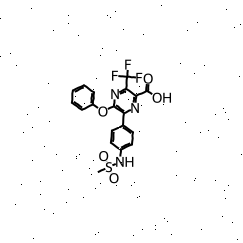 CS(=O)(=O)Nc1ccc(-c2nc(C(=O)O)c(C(F)(F)F)nc2Oc2ccccc2)cc1